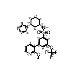 COc1ncccc1-c1cc(OC(F)(F)F)cc(S(=O)(=O)N[C@H]2CCC[C@@H](n3cnnc3)C2)c1